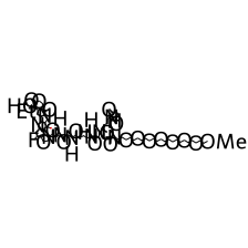 CC[C@@]1(O)C(=O)OCc2c1cc1n(c2=O)Cc2c-1nc1cc(F)c3c(c1c2C)N(C(=O)CNC(=O)CNC(=O)CCCNC(=O)[C@@H](CCC(=O)NCCOCCOCCOCCOCCOCCOCCOCCOC)NC(=O)CCCN1C(=O)C=CC1=O)CO3